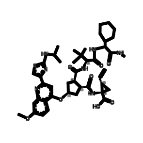 C=C[C@@H]1C[C@]1(NC(=O)[C@@H]1C[C@@H](Oc2cc(-c3csc(NC(C)C)n3)nc3cc(OC)ccc23)C[C@H]1C(=O)N[C@H](C(=O)NC(C(=O)NC)C1CCCCC1)C(C)(C)C)C(=O)O